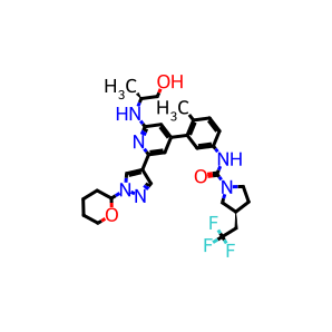 Cc1ccc(NC(=O)N2CC[C@@H](CC(F)(F)F)C2)cc1-c1cc(N[C@@H](C)CO)nc(-c2cnn(C3CCCCO3)c2)c1